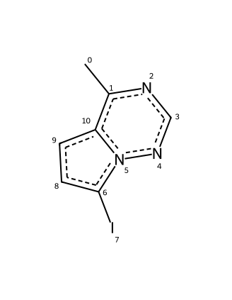 Cc1ncnn2c(I)ccc12